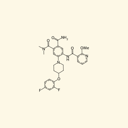 COc1ncccc1C(=O)Nc1cc(C(N)=O)c(C(=O)N(C)C)cc1N1CCC(Oc2ccc(F)cc2F)CC1